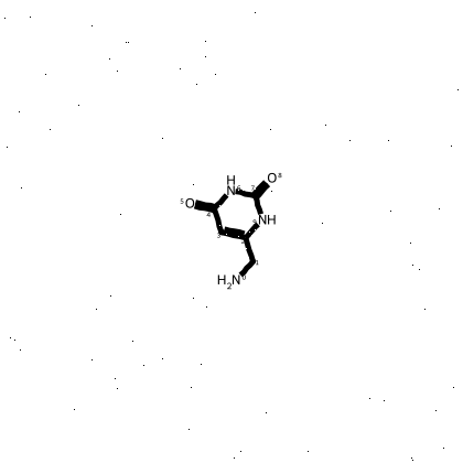 NCc1cc(=O)[nH]c(=O)[nH]1